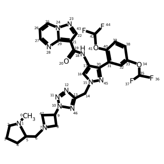 CN1CCCC1CN1CC(n2nnc(Cn3cc(NC(=O)c4cnn5cccnc45)c(-c4cc(OC(F)F)ccc4OC(F)F)n3)n2)C1